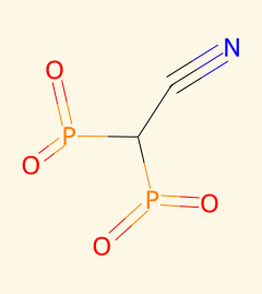 N#CC(P(=O)=O)P(=O)=O